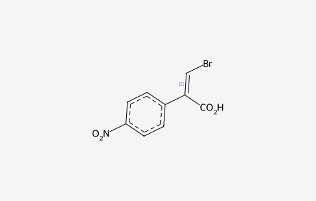 O=C(O)/C(=C\Br)c1ccc([N+](=O)[O-])cc1